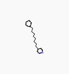 c1ccc(CCCCCCCCc2ccncc2)cc1